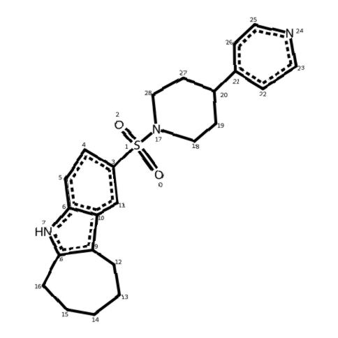 O=S(=O)(c1ccc2[nH]c3c(c2c1)CCCCC3)N1CCC(c2ccncc2)CC1